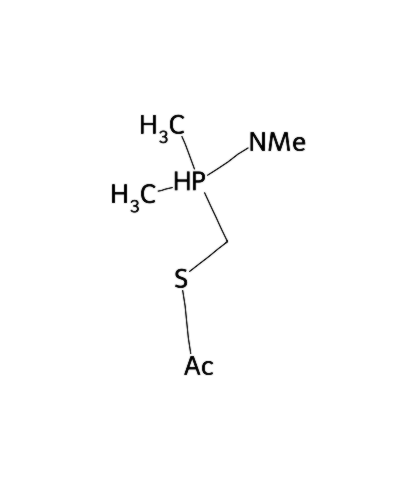 CN[PH](C)(C)CSC(C)=O